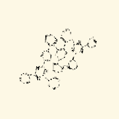 N#Cc1ccccc1-c1ccc(-c2ccccc2-c2nc(-c3ccccc3)nc(-c3ccccc3)n2)c(-c2ccccc2-c2ccc(-c3nc(-c4ccccc4)nc(-c4ccccc4)n3)cc2)c1